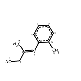 C/C(CC#N)=N\c1ccccc1C